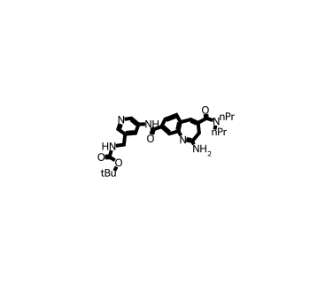 CCCN(CCC)C(=O)C1=Cc2ccc(C(=O)Nc3cncc(CNC(=O)OC(C)(C)C)c3)cc2N=C(N)C1